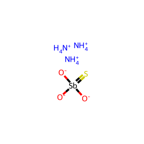 [NH4+].[NH4+].[NH4+].[O-][Sb]([O-])([O-])=[S]